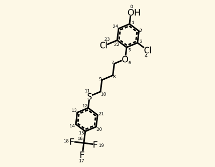 Oc1cc(Cl)c(OCCCCSc2ccc(C(F)(F)F)cc2)c(Cl)c1